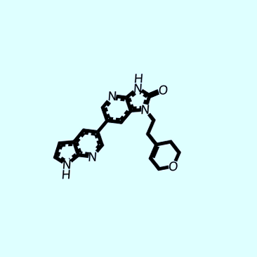 O=c1[nH]c2ncc(-c3cnc4[nH]ccc4c3)cc2n1CCC1=CCOCC1